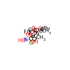 CCC(C)(C)C(=O)O[C@H]1C[C@@H](C=NO)[C@H](Cl)[C@]2(O)C=C[C@H](C)[C@H](CC[C@@H]3C[C@@H](O[Si](C)(C)C(C)(C)C)CC(=O)O3)[C@@H]12